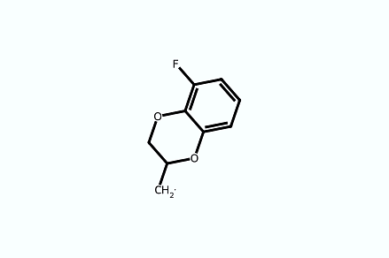 [CH2]C1COc2c(F)cccc2O1